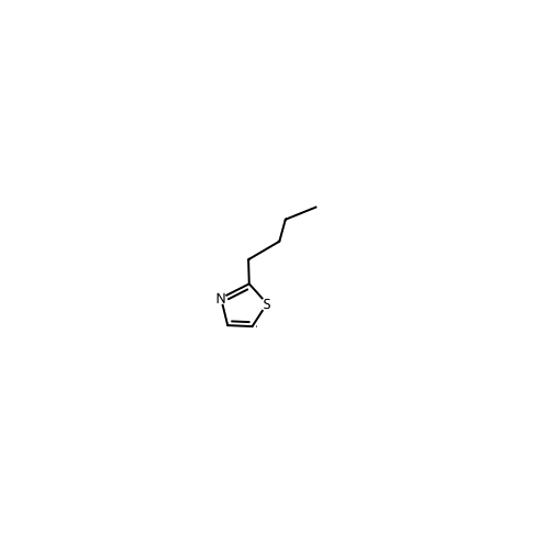 CCCCc1nc[c]s1